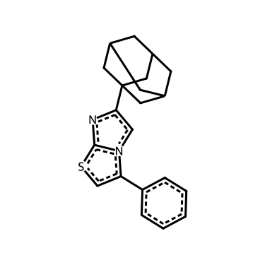 c1ccc(-c2csc3nc(C45CC6CC(CC(C6)C4)C5)cn23)cc1